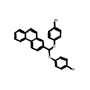 CC(C)c1ccc(OC(Oc2ccc(C(C)C)cc2)c2ccc3c(ccc4ccccc43)c2)cc1